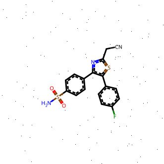 N#CCc1nc(-c2ccc(S(N)(=O)=O)cc2)c(-c2ccc(F)cc2)s1